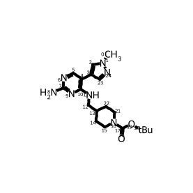 Cn1cc(-c2cnc(N)nc2NCC2CCN(C(=O)OC(C)(C)C)CC2)cn1